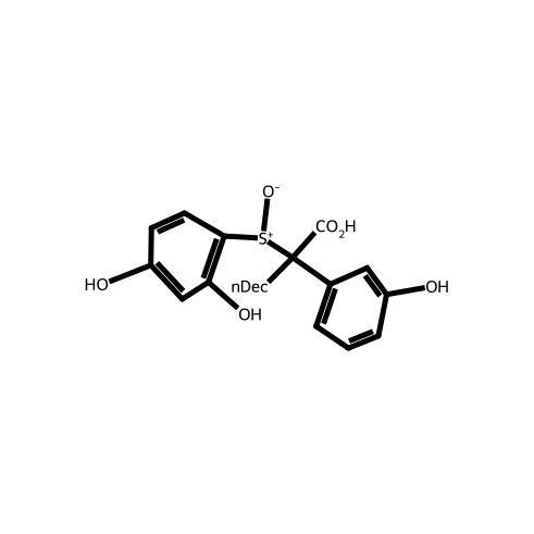 CCCCCCCCCCC(C(=O)O)(c1cccc(O)c1)[S+]([O-])c1ccc(O)cc1O